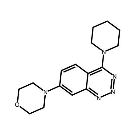 c1cc2c(N3CCCCC3)nnnc2cc1N1CCOCC1